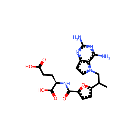 CC(Cn1ccc2nc(N)nc(N)c21)c1ccc(C(=O)N[C@H](CCC(=O)O)C(=O)O)o1